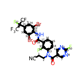 N#CCCN(C(=O)c1cnc(F)nc1)c1cccc(C(=O)Nc2c(Br)cc(C(F)(C(F)(F)F)C(F)(F)F)cc2Br)c1F